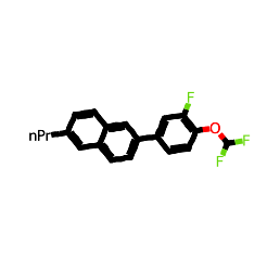 CCCc1ccc2cc(-c3ccc(OC(F)F)c(F)c3)ccc2c1